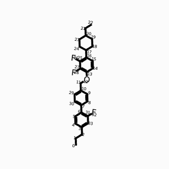 CCCc1ccc(-c2ccc(COc3ccc(C4CCC(CC)CC4)c(F)c3F)cc2)c(F)c1